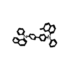 CC1C=Cc2cccc(N(c3ccccc3)c3ccc(-c4ccc(N(c5ccccc5)c5cccc6ccccc56)cc4)cc3)c2C1